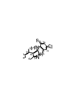 C/C=C(/C)c1c(C)nn(C)c1Nc1c(F)cc(Cl)cc1F